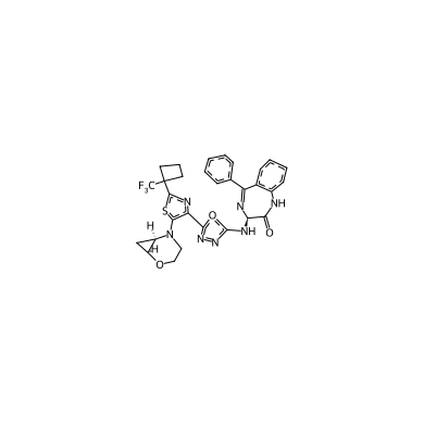 O=C1Nc2ccccc2C(c2ccccc2)=N[C@@H]1Nc1nnc(-c2nc(C3(C(F)(F)F)CCC3)sc2N2CCO[C@H]3C[C@H]32)o1